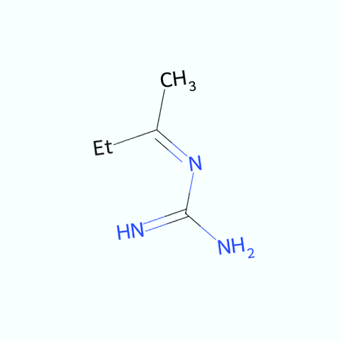 CC/C(C)=N\C(=N)N